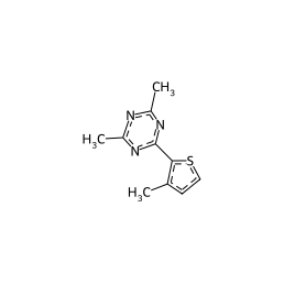 Cc1nc(C)nc(-c2sccc2C)n1